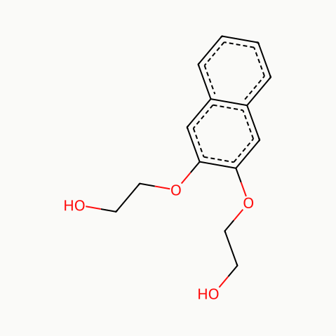 OCCOc1cc2ccccc2cc1OCCO